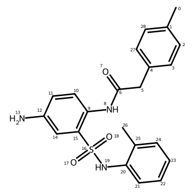 Cc1ccc(CC(=O)Nc2ccc(N)cc2S(=O)(=O)Nc2ccccc2C)cc1